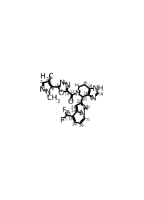 Cc1cnn(C)c1-c1nnc(C(=O)N2CCc3[nH]cnc3C2c2cc3c(C(F)F)cccn3n2)o1